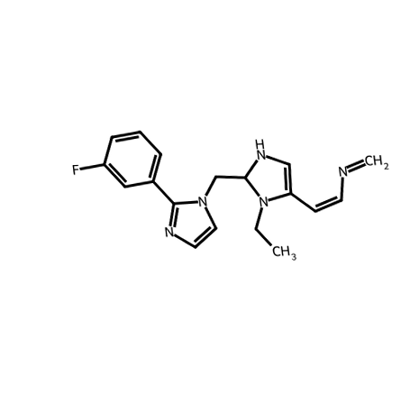 C=N/C=C\C1=CNC(Cn2ccnc2-c2cccc(F)c2)N1CC